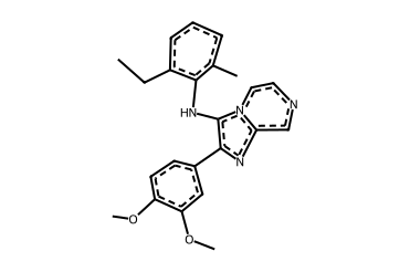 CCc1cccc(C)c1Nc1c(-c2ccc(OC)c(OC)c2)nc2cnccn12